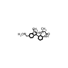 C=NCc1ccc2c(-c3cccc4c3N[C@H](C)CC(=O)N4)cn(C)c2c1